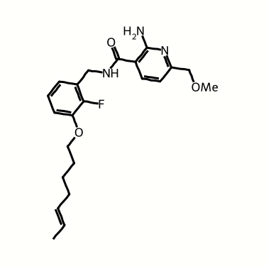 CC=CCCCCOc1cccc(CNC(=O)c2ccc(COC)nc2N)c1F